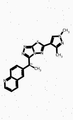 Cc1nn(C)cc1-c1nn2c([C@@H](C)c3ccc4ncccc4c3)nnc2s1